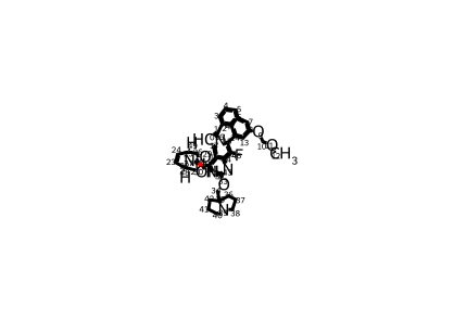 C#Cc1cccc2cc(OCOC)cc(-c3ncc4c(N5C[C@H]6C=C[C@@H](C5)N6C(=O)O)nc(OCC56CCCN5CCC6)nc4c3F)c12